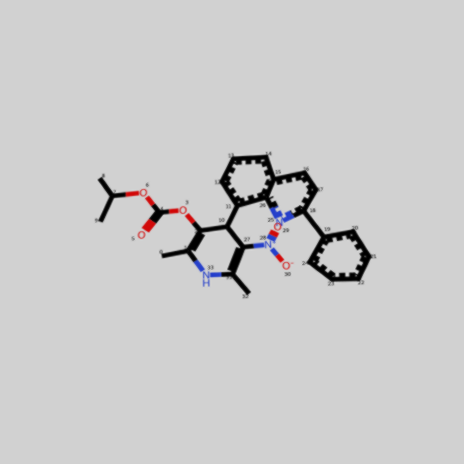 CC1=C(OC(=O)OC(C)C)C(c2cccc3ccc(-c4ccccc4)nc23)C([N+](=O)[O-])=C(C)N1